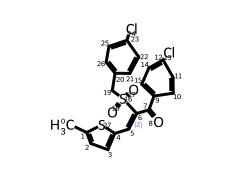 Cc1ccc(/C=C(/C(=O)c2ccc(Cl)cc2)S(=O)(=O)Cc2ccc(Cl)cc2)s1